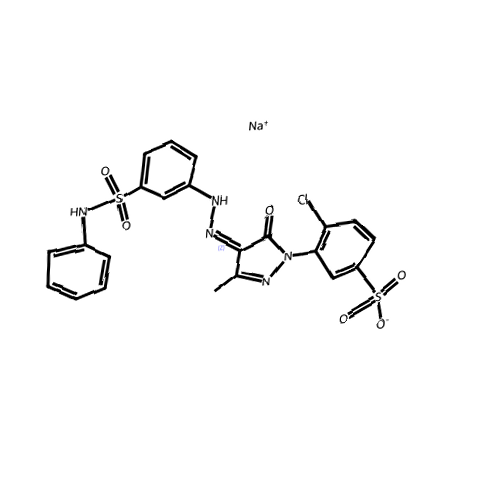 CC1=NN(c2cc(S(=O)(=O)[O-])ccc2Cl)C(=O)/C1=N\Nc1cccc(S(=O)(=O)Nc2ccccc2)c1.[Na+]